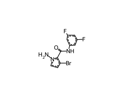 Nn1ccc(Br)c1C(=O)Nc1cc(F)cc(F)c1